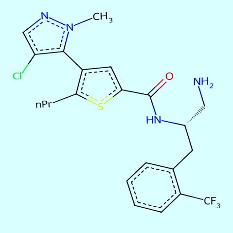 CCCc1sc(C(=O)N[C@H](CN)Cc2ccccc2C(F)(F)F)cc1-c1c(Cl)cnn1C